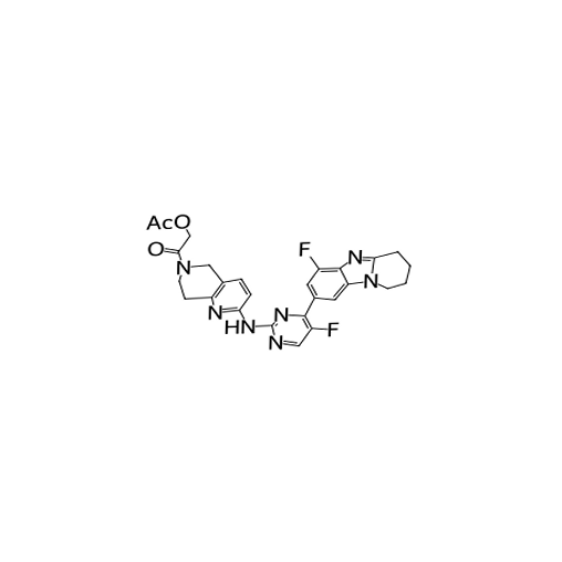 CC(=O)OCC(=O)N1CCc2nc(Nc3ncc(F)c(-c4cc(F)c5nc6n(c5c4)CCCC6)n3)ccc2C1